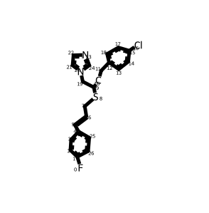 Fc1ccc(C=CCSC(CCc2ccc(Cl)cc2)Cn2ccnc2)cc1